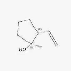 C=C[C@H]1CCC[C@]1(C)O